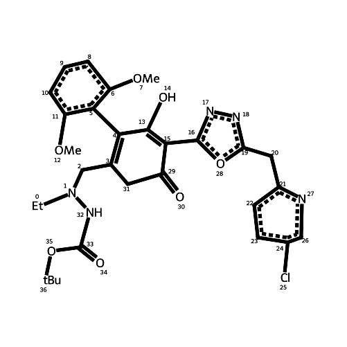 CCN(CC1=C(c2c(OC)cccc2OC)C(O)=C(c2nnc(Cc3ccc(Cl)cn3)o2)C(=O)C1)NC(=O)OC(C)(C)C